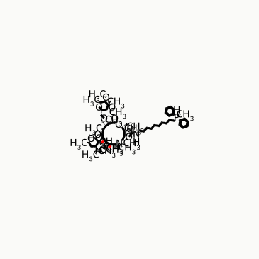 CC[C@H]1OC(=O)[C@H](C)[C@@H](COC[C@H]2C[C@@](C)(OC)[C@@H](OC)[C@H](C)O2)[C@H](C)[C@@H](O[C@@H]2O[C@H](C)C[C@H](N(C)C)[C@H]2OC(C)=O)[C@](C)(O)C[C@@H](C)CN(C)[C@H](C)[C@@H](OC(=O)NCCCCCCCCCC[PH](C)(c2ccccc2)c2ccccc2)[C@]1(C)O